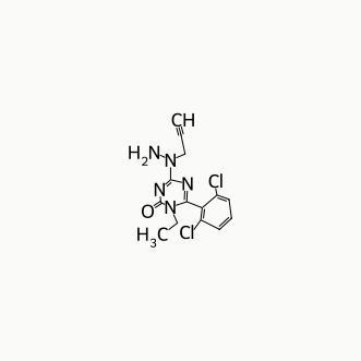 C#CCN(N)c1nc(-c2c(Cl)cccc2Cl)n(CC)c(=O)n1